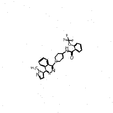 Cn1nccc1-c1nnc(N2CCC(NC(=O)c3ccccc3OC(F)(F)F)CC2)c2ccccc12